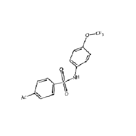 CC(=O)c1ccc(S(=O)(=O)Nc2ccc(OC(F)(F)F)cc2)cc1